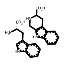 N[C@@H](Cc1c[nH]c2ccccc12)C(=O)O.O=C(O)C1Cc2c([nH]c3ccccc23)CN1